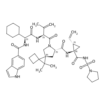 C=C[C@@H]1C[C@]1(NC(=O)[C@@H]1C[C@@]2(CN1C(=O)[C@@H](NC(=O)[C@@H](NC(=O)c1ccc3[nH]ccc3c1)C1CCCCC1)C(=C)C)C(C)(C)C21CCC1)C(=O)NS(=O)(=O)N1CCCC1